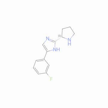 Fc1cccc(-c2cnc([C@@H]3CCCN3)[nH]2)c1